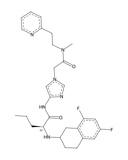 CCC[C@H](NC1CCc2cc(F)cc(F)c2C1)C(=O)Nc1cn(CC(=O)N(C)CCc2ccccn2)cn1